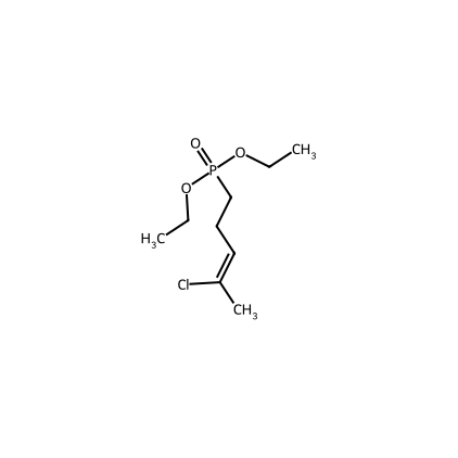 CCOP(=O)(CCC=C(C)Cl)OCC